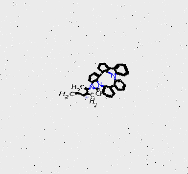 C=C/C=C(/C)C(=C)N1c2cccc3c2N(c2ccccc2-c2ccccc2-n2c4ccccc4c4cccc-3c42)[C@@H]1C